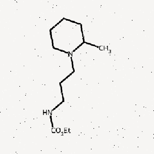 CCOC(=O)NCCCN1CCCCC1C